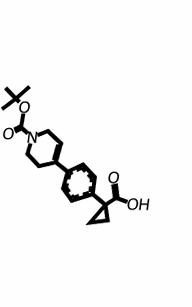 CC(C)(C)OC(=O)N1CC=C(c2ccc(C3(C(=O)O)CC3)cc2)CC1